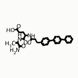 CC(NC(=O)C(CCC(=O)O)NC(=O)CCc1ccc(-c2ccc(-c3ccccc3)cc2)cc1)C(N)=O